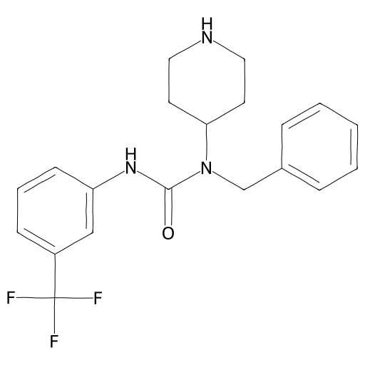 O=C(Nc1cccc(C(F)(F)F)c1)N(Cc1ccccc1)C1CCNCC1